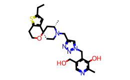 CCc1cc2c(s1)CCO[C@@]21CCN(Cc2cn(Cc3c(CO)cnc(C)c3O)nn2)[C@@H](C)C1